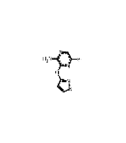 Nc1ncc(Br)nc1OC1=N[N]C=C1